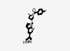 C[C@@H]1C[C@@H](Cn2ccc3cc(-c4cn[nH]c4)cnc32)CN1C(=O)c1ccc(F)cc1